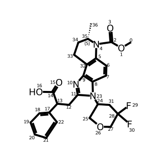 COC(=O)N1c2ccc3c(nc(CC(C(=O)O)c4ccccc4)n3C3COCC(F)(F)C3)c2CC[C@@H]1C